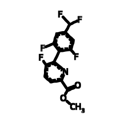 COC(=O)c1ccc(F)c(-c2c(F)cc(C(F)F)cc2F)n1